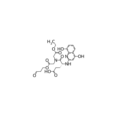 CCOC(=O)CN(CC(=O)OCCC=O)C(=O)[C@@H](CCC(=O)O)Nc1cc(O)c2cccc(O)c2n1